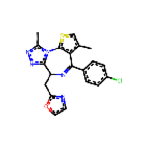 Cc1csc2c1C(c1ccc(Cl)cc1)=NC(Cc1ncco1)c1nnc(C)n1-2